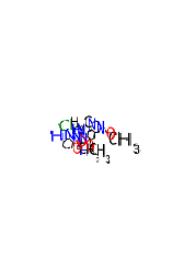 COCCN1CCN(C)c2cc(Nc3ncc(Cl)c(NC4CCCCC4NS(C)(=O)=O)n3)c(OC)cc2C1